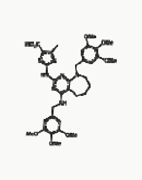 CCOC(=O)c1sc(Nc2nc(NCc3cc(OC)c(OC)c(OC)c3)c3c(n2)N(Cc2cc(OC)c(OC)c(OC)c2)CCCC3)nc1C